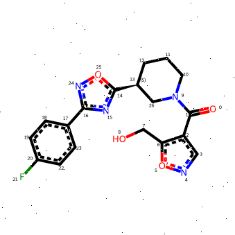 O=C(c1cnoc1CO)N1CCC[C@H](c2nc(-c3ccc(F)cc3)no2)C1